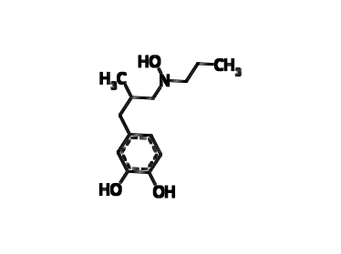 CCCN(O)CC(C)Cc1ccc(O)c(O)c1